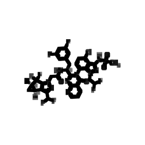 CS(=O)(=O)Nc1nn(CC(F)F)c2c(-n3c([C@H](Cc4cc(F)cc(F)c4)NC(=O)Cn4nc(C(F)F)c5c4C(F)(F)[C@@H]4C[C@H]54)nc4ncccc4c3=O)ccc(Cl)c12